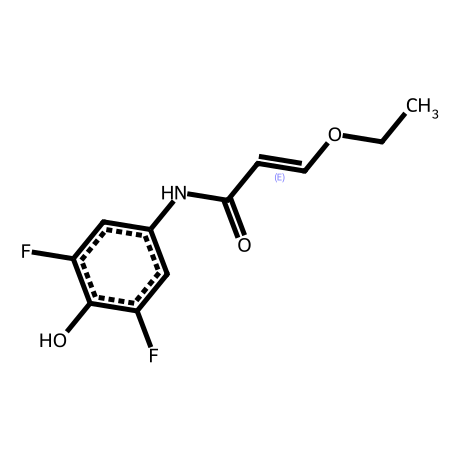 CCO/C=C/C(=O)Nc1cc(F)c(O)c(F)c1